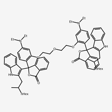 CCCCCCC(C)Cc1[nH]c2ccccc2c1C1(c2ccc(N(CC)CC)cc2OCCOCCOc2cc(N(CC)CC)ccc2C2(c3c(CC(C)CCCCCC)[nH]c4ccccc34)OC(=O)c3ccccc32)OC(=O)c2ccccc21